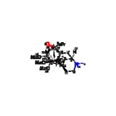 CCCC(=O)[C@H]1C[C@@]23CC[C@@]1(OC)C[C@@]21CCN(C)[C@@H]3Cc2ccc(OC)c(OC)c21